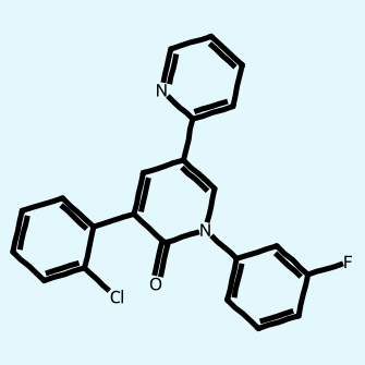 O=c1c(-c2ccccc2Cl)cc(-c2ccccn2)cn1-c1cccc(F)c1